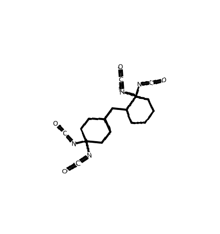 O=C=NC1(N=C=O)CCC(CC2CCCCC2(N=C=O)N=C=O)CC1